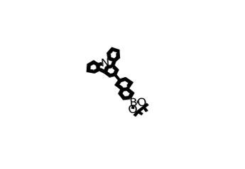 CC1(C)OB(c2ccc3cc(-c4cc5c6ccccc6n6c7ccccc7c(c4)c56)ccc3c2)OC1(C)C